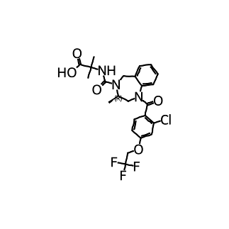 C[C@@H]1CN(C(=O)c2ccc(OCC(F)(F)F)cc2Cl)c2ccccc2CN1C(=O)NC(C)(C)C(=O)O